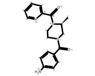 C[C@H]1CN(C(=O)c2ccc(N)cc2)CCN1C(=O)c1ccccn1